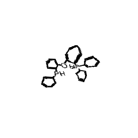 C[PH](c1ccccc1)(c1ccccc1)c1ccccc1Oc1ccccc1Pc1ccccc1